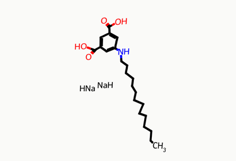 CCCCCCCCCCCCCCNc1cc(C(=O)O)cc(C(=O)O)c1.[NaH].[NaH]